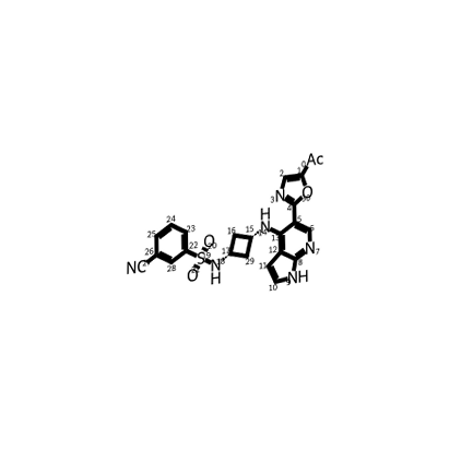 CC(=O)c1cnc(-c2cnc3[nH]ccc3c2N[C@H]2C[C@@H](NS(=O)(=O)c3cccc(C#N)c3)C2)o1